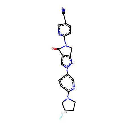 N#Cc1ccc(N2Cc3nn(-c4ccc(N5CC[C@H](F)C5)nc4)cc3C2=O)nc1